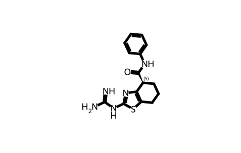 N=C(N)Nc1nc2c(s1)CCC[C@@H]2C(=O)Nc1ccccc1